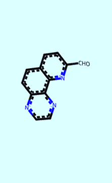 O=Cc1ccc2ccc3nccnc3c2n1